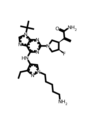 C=C(C(N)=O)[C@@H]1CN(c2nc(Nc3cn(CCCCCN)nc3CC)c3ncn(C(C)(C)C)c3n2)C[C@@H]1F